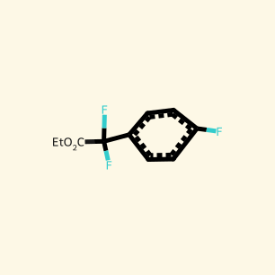 CCOC(=O)C(F)(F)c1ccc(F)cc1